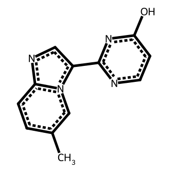 Cc1ccc2ncc(-c3nccc(O)n3)n2c1